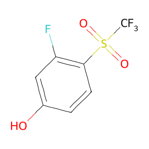 O=S(=O)(c1ccc(O)cc1F)C(F)(F)F